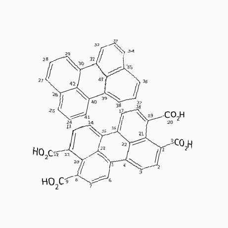 O=C(O)c1ccc2c3ccc(C(=O)O)c4c(C(=O)O)ccc(c5ccc(C(=O)O)c1c25)c43.c1cc2cccc3c4cccc5cccc(c(c1)c23)c54